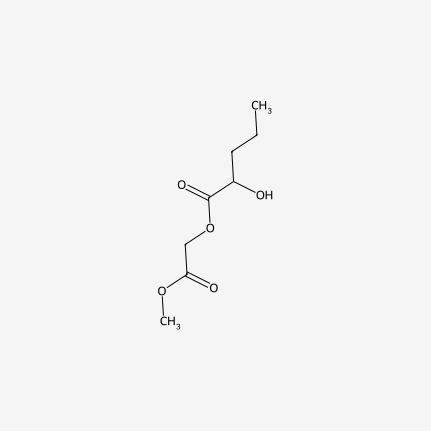 CCCC(O)C(=O)OCC(=O)OC